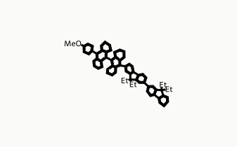 CCC1(CC)c2ccccc2-c2ccc(-c3ccc4c(c3)C(CC)(CC)c3cc(-c5c6ccccc6c(-c6c7ccccc7c(-c7ccc(OC)cc7)c7ccccc67)c6ccccc56)ccc3-4)cc21